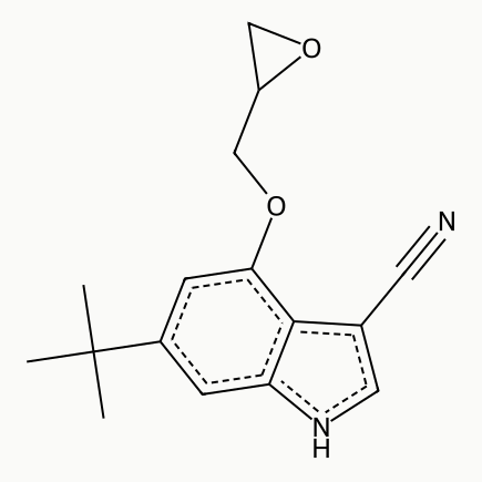 CC(C)(C)c1cc(OCC2CO2)c2c(C#N)c[nH]c2c1